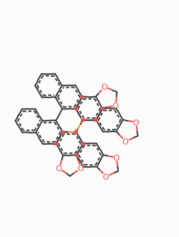 c1ccc2c(-c3c(P(c4ccc5c(c4)OCO5)c4ccc5c(c4)OCO5)ccc4ccccc34)c(P(c3ccc4c(c3)OCO4)c3ccc4c(c3)OCO4)ccc2c1